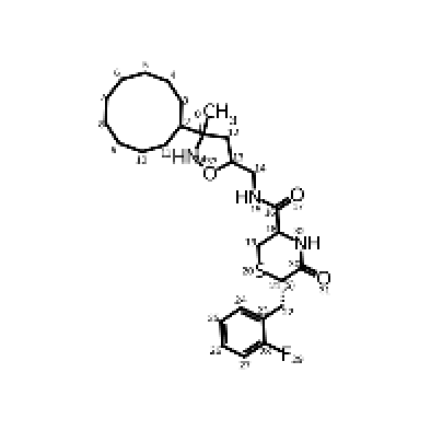 CC1(C2CCCCCCCCC2)CC(CNC(=O)C2CS[C@@H](Cc3ccccc3F)C(=O)N2)ON1